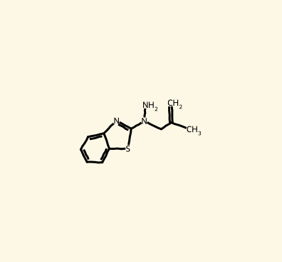 C=C(C)CN(N)c1nc2ccccc2s1